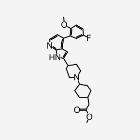 COC(=O)CC1CCC(N2CCC(c3cc4c(-c5cc(F)ccc5OC)ccnc4[nH]3)CC2)CC1